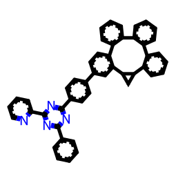 c1ccc(-c2nc(-c3ccc(-c4ccc5c(c4)C4CC4c4ccccc4-c4ccccc4-c4ccccc4-5)cc3)nc(-c3ccccn3)n2)cc1